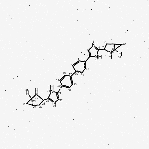 c1cc(-c2cnc(C3CC4C[C@@H]4N3)[nH]2)ccc1-c1ccc(-c2cnc(C3CC4C[C@@H]4N3)[nH]2)cc1